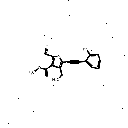 CCc1c(C#Cc2ccccc2Br)[nH]c(C=O)c1C(=O)OC